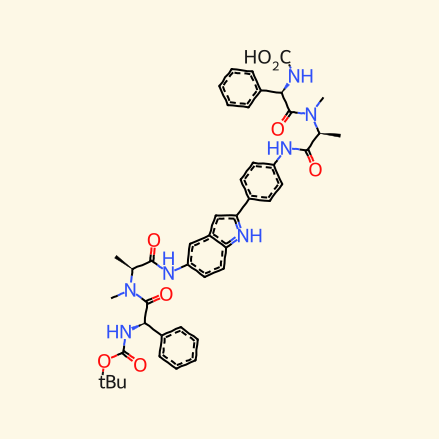 C[C@@H](C(=O)Nc1ccc(-c2cc3cc(NC(=O)[C@H](C)N(C)C(=O)[C@H](NC(=O)OC(C)(C)C)c4ccccc4)ccc3[nH]2)cc1)N(C)C(=O)[C@H](NC(=O)O)c1ccccc1